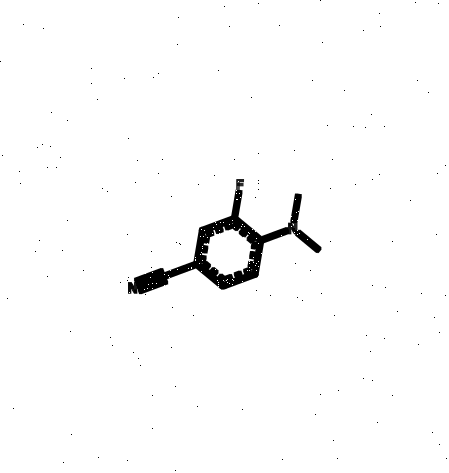 CN(C)c1ccc(C#N)cc1F